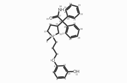 C[N+]1(CCCOc2cccc(O)c2)CCC(C(C(N)=O)(c2ccccc2)c2ccccc2)C1